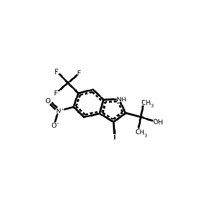 CC(C)(O)c1[nH]c2cc(C(F)(F)F)c([N+](=O)[O-])cc2c1I